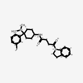 CN(C)C1(c2cccc(F)c2)CCC(NC(=O)CCC(=O)N2CCc3ccccc32)CC1